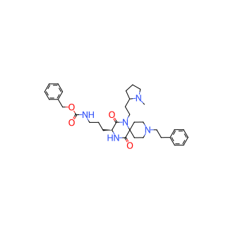 CN1CCCC1CCN1C(=O)[C@H](CCCNC(=O)OCc2ccccc2)NC(=O)C12CCN(CCc1ccccc1)CC2